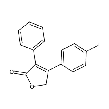 O=C1OCC(c2ccc(I)cc2)=C1c1ccccc1